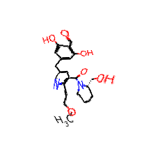 COCCc1ncc(Cc2cc(O)c(C=O)c(O)c2)cc1C(=O)N1CCCC[C@H]1CO